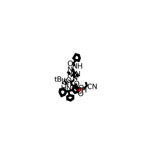 CC(C#N)CO[PH](=O)O[C@@H]1O[C@@H](n2cnc3c(NC(=O)c4ccccc4)ncnc32)[C@H](O[Si](C)(C)C(C)(C)C)[C@H]1NC(c1ccccc1)(c1ccccc1)c1ccccc1